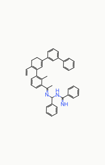 C=CC1=C(c2cccc(/C(C)=N/C(NC(=N)c3ccccc3)c3ccccc3)c2C)C=C(c2cccc(-c3ccccc3)c2)CC1